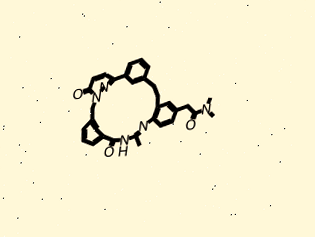 C/C1=N\c2ccc(CC(=O)N(C)C)cc2CCc2cccc(c2)-c2ccc(=O)n(n2)Cc2cccc(c2)C(=O)N1